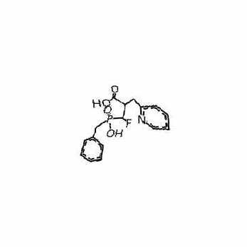 O=C(O)C(Cc1ccccn1)C(F)P(=O)(O)Cc1ccccc1